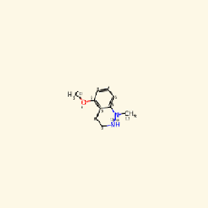 COc1cccc2c1CCNN2C